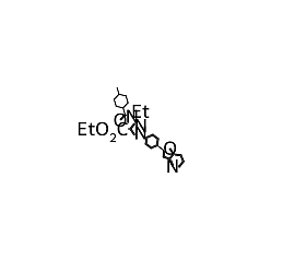 CCOC(=O)c1cn(-c2ccc(-c3cc4ncccc4o3)cc2)nc1N(CC)C(=O)C1CCC(C)CC1